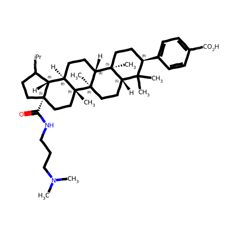 CC(C)C1CC[C@]2(C(=O)NCCCN(C)C)CC[C@]3(C)[C@H](CC[C@@H]4[C@@]5(C)CC[C@@H](c6ccc(C(=O)O)cc6)C(C)(C)[C@@H]5CC[C@]43C)[C@@H]12